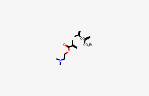 C=C(C)C(=O)O.C=C(C)C(=O)OCCN(C)C.C=CC(=O)OCC